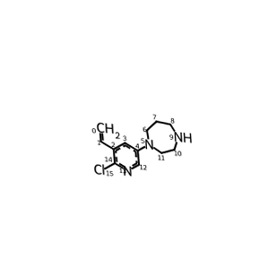 C=Cc1cc(N2CCCNCC2)cnc1Cl